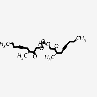 CCCC#CC[C@H](C)C(=O)CO[PH](=O)OCC(=O)[C@@H](C)CC#CCCC